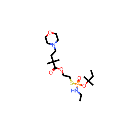 CCNP(=O)(OC(C)(C)CC)SCCOC(=O)C(C)(C)CCN1CCOCC1